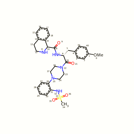 COc1ccc(C[C@@H](NC(=O)C2N[CH]Cc3ccccc32)C(=O)N2CCN(c3ccccc3NS(C)(=O)=O)CC2)cc1